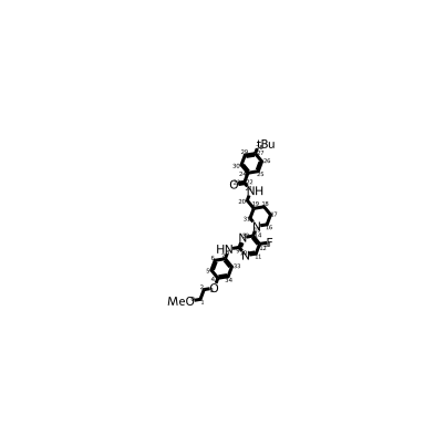 COCCOc1ccc(Nc2ncc(F)c(N3CCCC(CNC(=O)c4ccc(C(C)(C)C)cc4)C3)n2)cc1